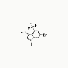 CCn1cc(I)c2cc(Br)cc(C(F)(F)F)c21